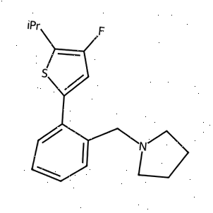 CC(C)c1sc(-c2ccccc2CN2CCCC2)cc1F